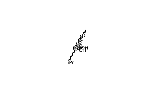 CC=COOOOOOOOOCCCCCCCC(C)C.O=P(O)(O)O